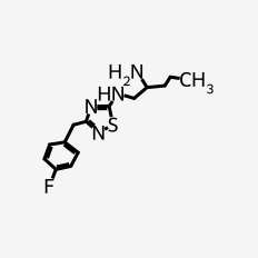 CCCC(N)CNc1nc(Cc2ccc(F)cc2)ns1